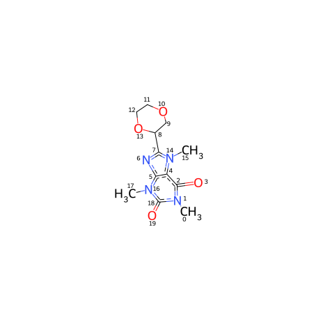 Cn1c(=O)c2c(nc(C3COCCO3)n2C)n(C)c1=O